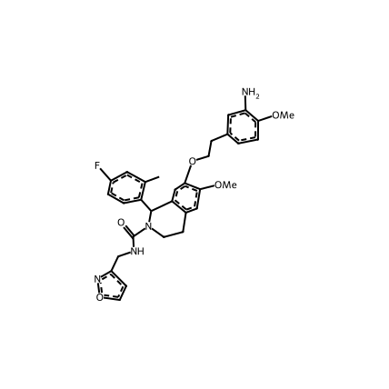 COc1ccc(CCOc2cc3c(cc2OC)CCN(C(=O)NCc2ccon2)C3c2ccc(F)cc2C)cc1N